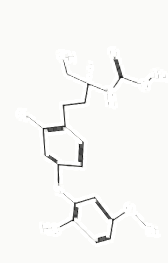 CCOc1ccc(O)c(Sc2ccc(CC[C@@](C)(CO)NC(=O)OC(C)(C)C)c(Cl)c2)c1